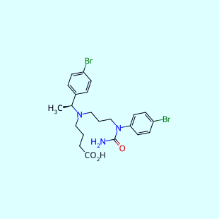 C[C@@H](c1ccc(Br)cc1)N(CCCC(=O)O)CCCN(C(N)=O)c1ccc(Br)cc1